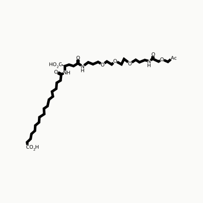 CC(=O)COCC(=O)NCCCOCCOCCOCCCNC(=O)CC[C@H](NC(=O)CCCCCCCCCCCCCCCCC(=O)O)C(=O)O